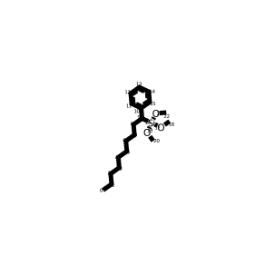 CCCCCCCCCC(c1ccccc1)[Si](OC)(OC)OC